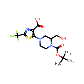 CC(C)(C)OC(=O)N1CCN(c2sc(C(F)(F)F)nc2C(=O)O)CC1CO